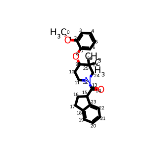 COc1ccccc1OC1CCN(C(=O)C2CCc3ccccc32)CC1(C)C